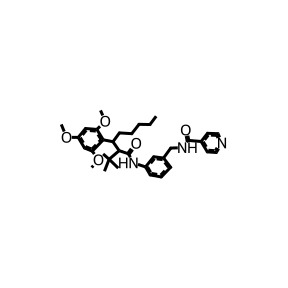 CCCCCC(c1c(OC)cc(OC)cc1OC)C(C(=O)Nc1cccc(CNC(=O)c2ccncc2)c1)C(C)(C)C